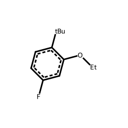 CCOc1cc(F)ccc1C(C)(C)C